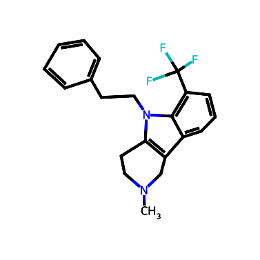 CN1CCc2c(c3cccc(C(F)(F)F)c3n2CCc2ccccc2)C1